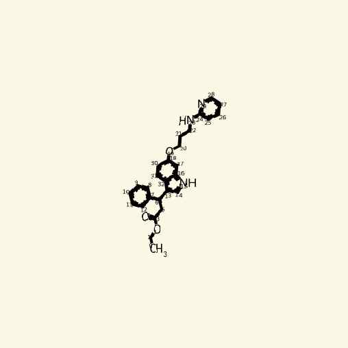 CCOC(=O)CC(c1ccccc1)c1c[nH]c2cc(OCCCNc3ccccn3)ccc12